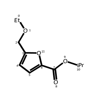 CCOCc1ccc(C(=O)OC(C)C)o1